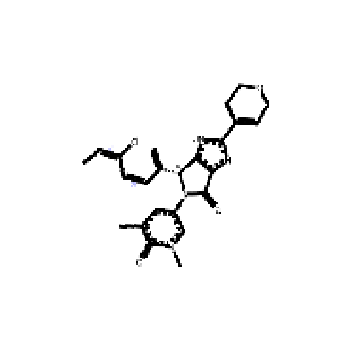 C=C(/C=C\C(Cl)=C/C)[C@@H]1c2[nH]c(C3=CCOCC3)nc2C(=O)N1c1cc(C)c(=O)n(C)c1